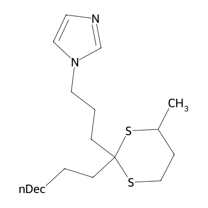 CCCCCCCCCCCCC1(CCCn2ccnc2)SCCC(C)S1